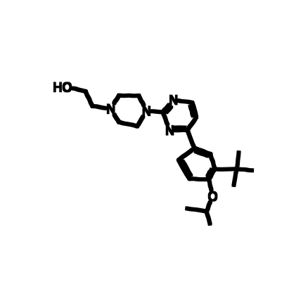 CC(C)Oc1ccc(-c2ccnc(N3CCN(CCO)CC3)n2)cc1C(C)(C)C